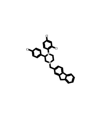 Clc1ccc(C2CN(Cc3ccc4c(c3)Cc3ccccc3-4)CCN2c2ccc(Cl)cc2Cl)cc1